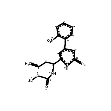 C=CCC(NC(=O)OC(C)(C)C)c1cc(-c2ccccc2[N+](=O)[O-])cc(=O)[nH]1